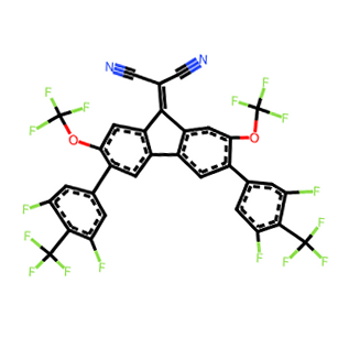 N#CC(C#N)=C1c2cc(OC(F)(F)F)c(-c3cc(F)c(C(F)(F)F)c(F)c3)cc2-c2cc(-c3cc(F)c(C(F)(F)F)c(F)c3)c(OC(F)(F)F)cc21